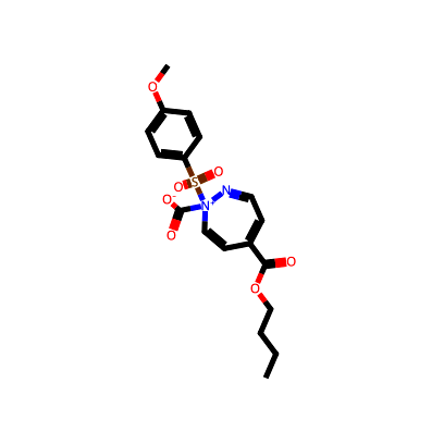 CCCCOC(=O)C1=CC=N[N+](C(=O)[O-])(S(=O)(=O)c2ccc(OC)cc2)C=C1